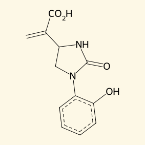 C=C(C(=O)O)C1CN(c2ccccc2O)C(=O)N1